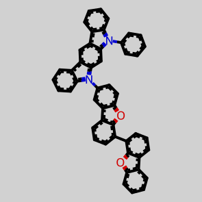 c1ccc(-n2c3ccccc3c3cc4c5ccccc5n(-c5ccc6oc7c(-c8cccc9c8oc8ccccc89)cccc7c6c5)c4cc32)cc1